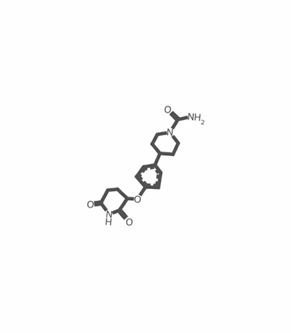 NC(=O)N1CCC(c2ccc(OC3CCC(=O)NC3=O)cc2)CC1